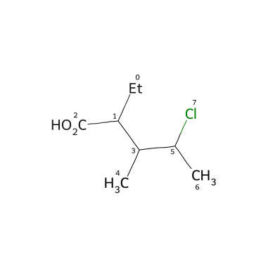 CCC(C(=O)O)C(C)C(C)Cl